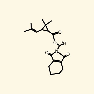 [2H]C(OC(=O)C1C(C=C(C)C)C1(C)C)N1C(=O)C2=C(CCCC2)C1=O